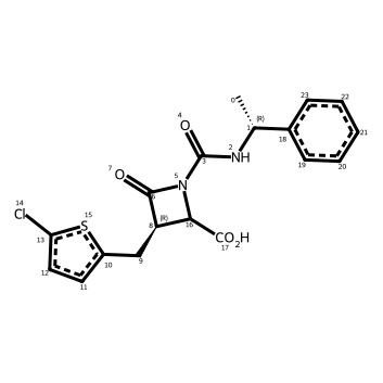 C[C@@H](NC(=O)N1C(=O)[C@H](Cc2ccc(Cl)s2)C1C(=O)O)c1ccccc1